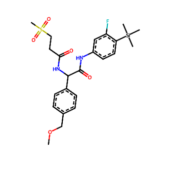 COCc1ccc(C(NC(=O)CCS(C)(=O)=O)C(=O)Nc2ccc([Si](C)(C)C)c(F)c2)cc1